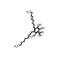 CCCCCCCCCc1c(O)c(O)c(C(=O)O)c(OC)c1CCCCCCCCC